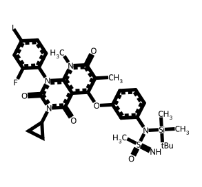 Cc1c(Oc2cccc(N([Si](C)(C)C(C)(C)C)S(C)(=N)=O)c2)c2c(=O)n(C3CC3)c(=O)n(-c3ccc(I)cc3F)c2n(C)c1=O